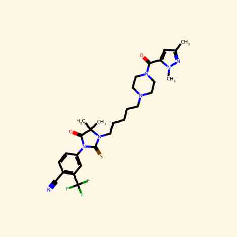 Cc1cc(C(=O)N2CCN(CCCCCN3C(=S)N(c4ccc(C#N)c(C(F)(F)F)c4)C(=O)C3(C)C)CC2)n(C)n1